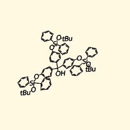 CC(C)(C)O[Si](Oc1ccc(C(O)(c2ccc(O[Si](OC(C)(C)C)(c3ccccc3)c3ccccc3)cc2)c2ccc(O[Si](OC(C)(C)C)(c3ccccc3)c3ccccc3)cc2)cc1)(c1ccccc1)c1ccccc1